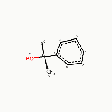 C[C@@](O)(c1ccccc1)C(F)(F)F